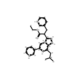 CCOC(=O)C(Cc1cccnc1)c1nnc2c(CC(C)C)nc(-c3cccnc3)cn12